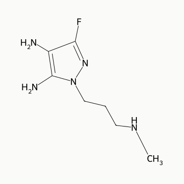 CNCCCn1nc(F)c(N)c1N